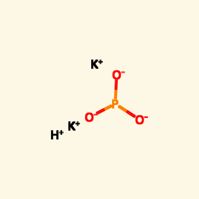 [H+].[K+].[K+].[O-]P([O-])[O-]